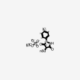 CCCCC1C(=O)NN(c2ccccc2)C1=O.O=P([O-])([O-])[O-].[K+].[K+].[K+]